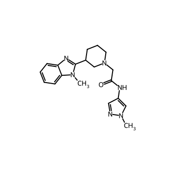 Cn1cc(NC(=O)CN2CCCC(c3nc4ccccc4n3C)C2)cn1